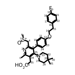 Cc1nc(C[S+](C)[O-])c(-c2ccc(OCCc3ccc(F)cc3)cc2)c(N2CCC(C)(C)CC2)c1CC(=O)O